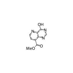 COC(=O)c1ccnc2c(O)ncnc12